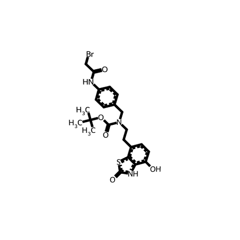 CC(C)(C)OC(=O)N(CCc1ccc(O)c2[nH]c(=O)sc12)Cc1ccc(NC(=O)CBr)cc1